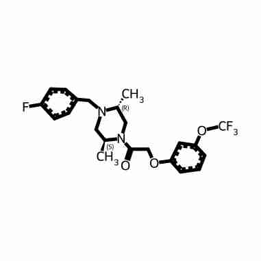 C[C@@H]1CN(C(=O)COc2cccc(OC(F)(F)F)c2)[C@@H](C)CN1Cc1ccc(F)cc1